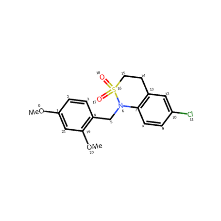 COc1ccc(CN2c3ccc(Cl)cc3CCS2(=O)=O)c(OC)c1